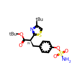 CC(C)(C)OC(=O)[C@H](Cc1ccc(OS(N)(=O)=O)cc1)c1nc(C(C)(C)C)cs1